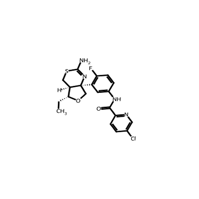 CC[C@H]1OC[C@]2(c3cc(NC(=O)c4ccc(Cl)cn4)ccc3F)N=C(N)SC[C@H]12